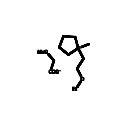 CCOCC[N+]1(C)CCCC1.COCC(=O)[O-]